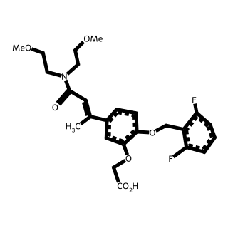 COCCN(CCOC)C(=O)/C=C(\C)c1ccc(OCc2c(F)cccc2F)c(OCC(=O)O)c1